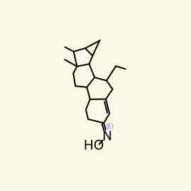 CCC1CC2=C/C(=N/O)CCC2C2CCC3(C)C(C)C4CC4C3C12